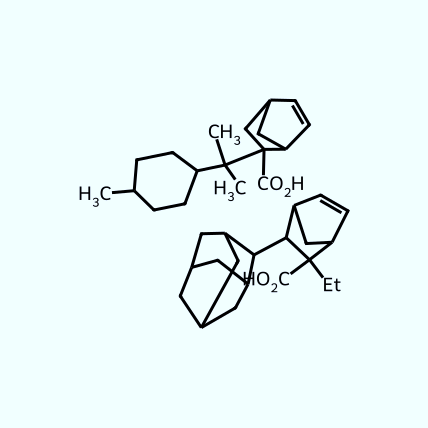 CC1CCC(C(C)(C)C2(C(=O)O)CC3C=CC2C3)CC1.CCC1(C(=O)O)C2C=CC(C2)C1C1C2CC3CC(C2)CC1C3